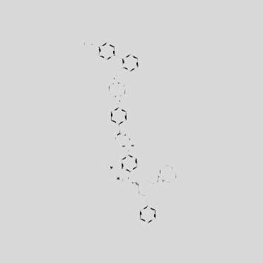 CS(=O)(=O)c1cc(S(=O)(=O)NC(=O)c2ccc(N3CCN(Cc4ccccc4-c4ccc(Cl)cc4)CC3)cc2)ccc1N[C@H](CCN1CCOCC1)CSc1ccccc1